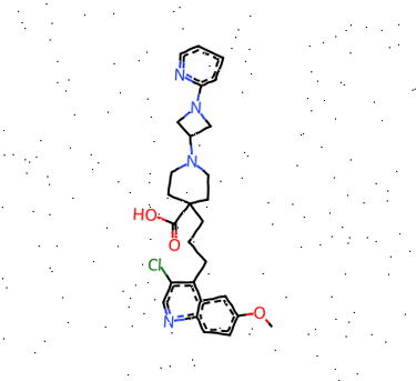 COc1ccc2ncc(Cl)c(CCCC3(C(=O)O)CCN(C4CN(c5ccccn5)C4)CC3)c2c1